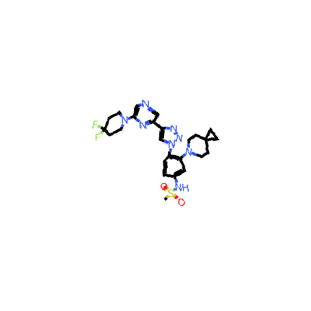 CS(=O)(=O)Nc1ccc(-n2cc(-c3cncc(N4CCC(F)(F)CC4)n3)nn2)c(N2CCC3(CC2)CC3)c1